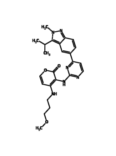 COCCCNc1ccoc(=O)c1Nc1nccc(-c2ccc3nn(C)c(C(C)C)c3c2)n1